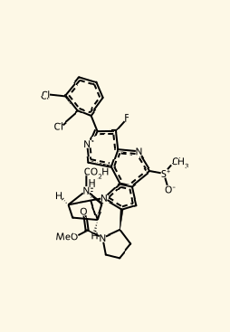 COC(=O)N1CCC[C@@H]1c1cc2c([S+](C)[O-])nc3c(F)c(-c4cccc(Cl)c4Cl)ncc3c2n1[C@H]1[C@@H]2C[C@H]1N(C(=O)O)C2